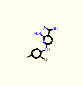 CCc1cc(C)ccc1Nc1ccc(C(=N)N)c(N)n1